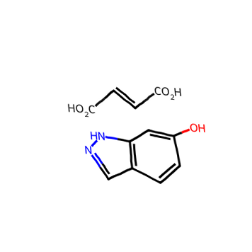 O=C(O)C=CC(=O)O.Oc1ccc2cn[nH]c2c1